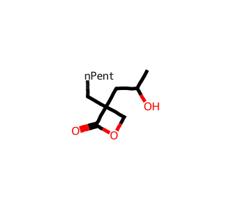 CCCCCCC1(CC(C)O)COC1=O